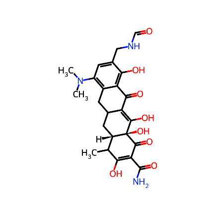 CC1C(O)=C(C(N)=O)C(=O)[C@@]2(O)C(O)=C3C(=O)c4c(O)c(CNC=O)cc(N(C)C)c4CC3C[C@@H]12